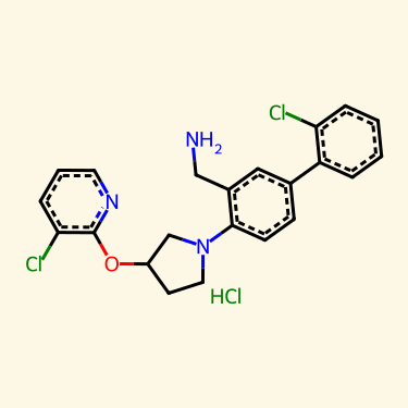 Cl.NCc1cc(-c2ccccc2Cl)ccc1N1CCC(Oc2ncccc2Cl)C1